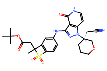 CC(C)(C)OC(=O)CC1(C)c2cc(Nc3nn([C@]4(CC#N)CCCOC4)c4cc[nH]c(=O)c34)ccc2S1(=O)=O